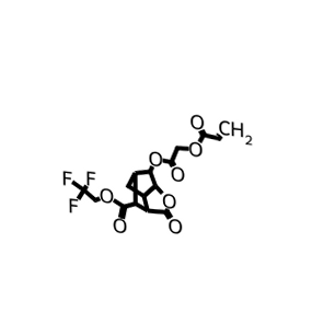 C=CC(=O)OCC(=O)OC1C2CC3C1OC(=O)C3C2C(=O)OCC(F)(F)F